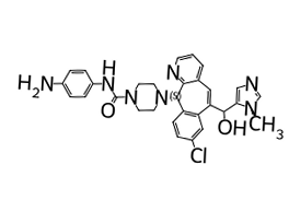 Cn1cncc1C(O)C1=Cc2cccnc2[C@@H](N2CCN(C(=O)Nc3ccc(N)cc3)CC2)c2ccc(Cl)cc21